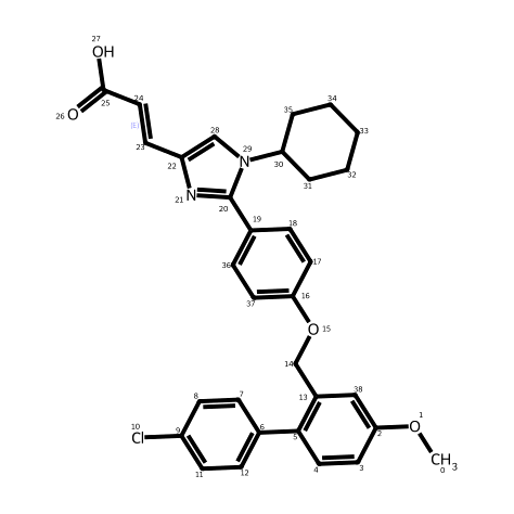 COc1ccc(-c2ccc(Cl)cc2)c(COc2ccc(-c3nc(/C=C/C(=O)O)cn3C3CCCCC3)cc2)c1